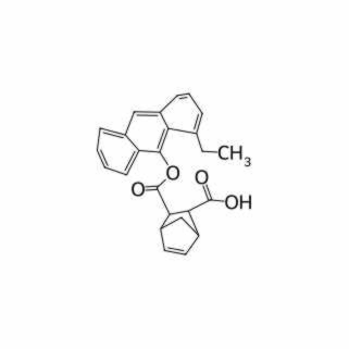 CCc1cccc2cc3ccccc3c(OC(=O)C3C4C=CC(C4)C3C(=O)O)c12